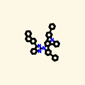 c1ccc(-c2ccc3c(c2)c2c4c5ccccc5n5c6cc(-c7ccccc7)ccc6c(cc2n3-c2nc(-c3ccc6c(ccc7ccccc76)c3)c3ccccc3n2)c45)cc1